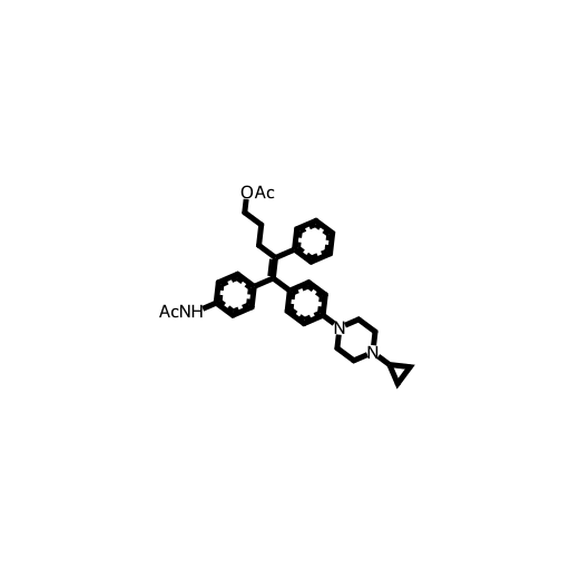 CC(=O)Nc1ccc(/C(=C(\CCCOC(C)=O)c2ccccc2)c2ccc(N3CCN(C4CC4)CC3)cc2)cc1